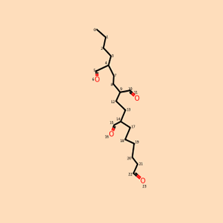 CCCCC(C=O)CCC(C=O)CCC(C=O)CCCCCC=O